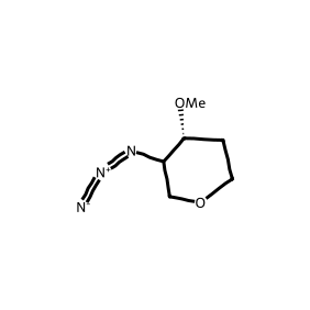 CO[C@@H]1CCOCC1N=[N+]=[N-]